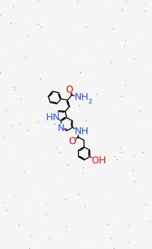 NC(=O)/C(=C/c1c[nH]c2ncc(NC(=O)Cc3cccc(O)c3)cc12)c1ccccc1